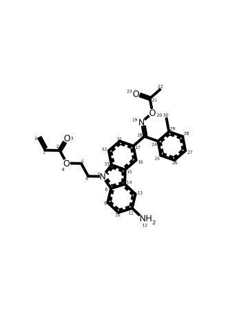 C=CC(=O)OCCn1c2ccc(N)cc2c2cc(/C(=N/OC(C)=O)c3ccccc3C)ccc21